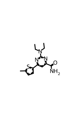 CCN(CC)c1nc(C(N)=O)cc(-c2ccc(C)s2)n1